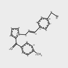 Cc1ccc(C(=O)c2cccn2C/C=C/c2ccc(CBr)cc2)cc1